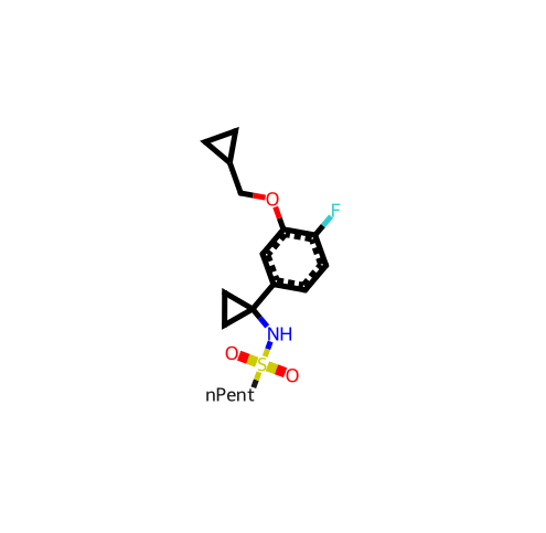 CCCCCS(=O)(=O)NC1(c2ccc(F)c(OCC3CC3)c2)CC1